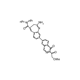 CCCN(CCC)C(=O)C1=Cc2ccc(-c3ccc4c(=O)n(C(=O)COC)ncc4c3)cc2N=C(N)C1